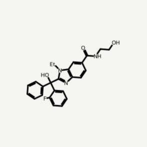 CCn1c(C(O)(c2ccccc2)c2ccccc2F)nc2ccc(C(=O)NCCO)cc21